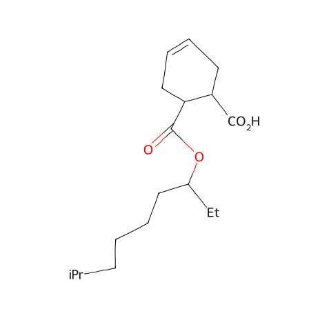 CCC(CCCCC(C)C)OC(=O)C1CC=CCC1C(=O)O